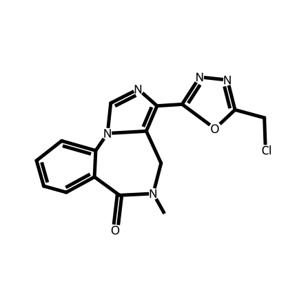 CN1Cc2c(-c3nnc(CCl)o3)ncn2-c2ccccc2C1=O